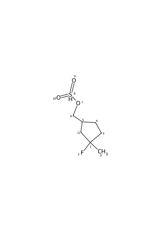 CC1(F)CCC([CH]O[SH](=O)=O)C1